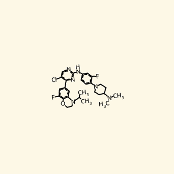 CC(C)N1CCOc2c(F)cc(-c3nc(Nc4ccc(N5CCC(N(C)C)CC5)c(F)c4)ncc3Cl)cc21